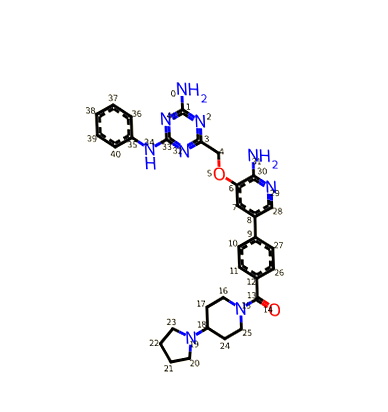 Nc1nc(COc2cc(-c3ccc(C(=O)N4CCC(N5CCCC5)CC4)cc3)cnc2N)nc(Nc2ccccc2)n1